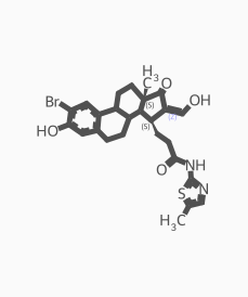 Cc1cnc(NC(=O)CC[C@@H]2/C(=C/O)C(=O)[C@@]3(C)CCC4c5cc(Br)c(O)cc5CCC4C23)s1